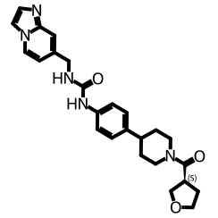 O=C(NCc1ccn2ccnc2c1)Nc1ccc(C2CCN(C(=O)[C@H]3CCOC3)CC2)cc1